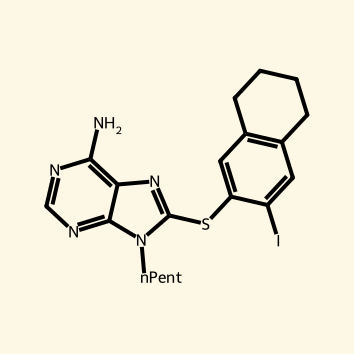 CCCCCn1c(Sc2cc3c(cc2I)CCCC3)nc2c(N)ncnc21